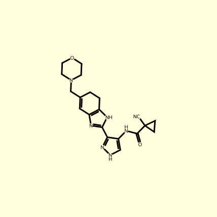 N#CC1(C(=O)Nc2c[nH]nc2-c2nc3c([nH]2)CCC(CN2CCOCC2)=C3)CC1